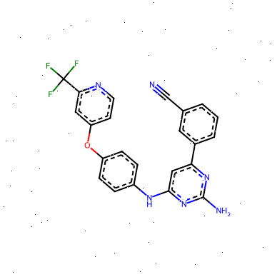 N#Cc1cccc(-c2cc(Nc3ccc(Oc4ccnc(C(F)(F)F)c4)cc3)nc(N)n2)c1